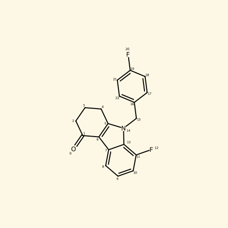 O=C1CCCc2c1c1cccc(F)c1n2Cc1ccc(F)cc1